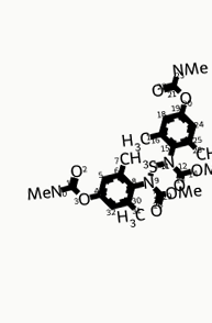 CNC(=O)Oc1cc(C)c(N(SN(C(=O)OC)c2c(C)cc(OC(=O)NC)cc2C)C(=O)OC)c(C)c1